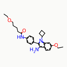 CCOCCCCC(=O)Nc1ccc(-c2c(N)c3ccc(OCC)cc3n2C2CCC2)cc1